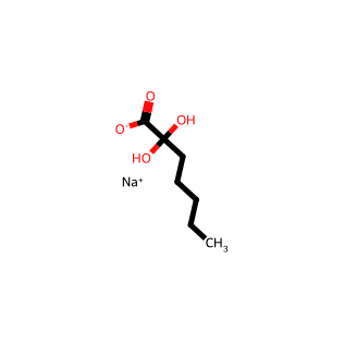 CCCCCC(O)(O)C(=O)[O-].[Na+]